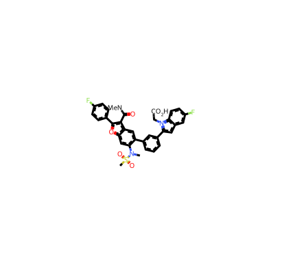 CNC(=O)c1c(-c2ccc(F)cc2)oc2cc(N(C)S(C)(=O)=O)c(-c3cccc(-c4cc5cc(F)ccc5n4CC(=O)O)c3)cc12